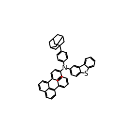 c1ccc(-c2cccc3cccc(-c4ccc(N(c5ccc(C67CC8CC(CC(C8)C6)C7)cc5)c5ccc6sc7ccccc7c6c5)cc4)c23)cc1